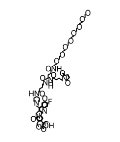 CC[C@@]1(O)C(=O)OCc2c1cc1n(c2=O)Cc2c-1nc1cc(F)c(OC)cc1c2CN1CCC(NC(=O)CCCNC(=O)C(CCC(=O)NCCOCCOCCOCCOCCOCCOCCOCCOC)NC(=O)CCCN2C(=O)C=CC2=O)CC1